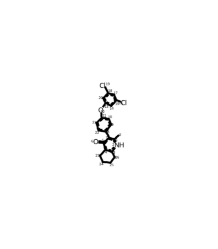 Cc1[nH]c2c(c(=O)c1-c1ccc(Oc3cc(Cl)cc(Cl)c3)cc1)CCCC2